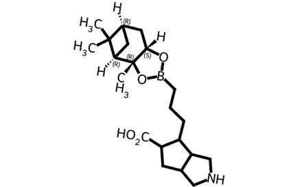 CC1(C)[C@H]2C[C@@H]3OB(CCCC4C(C(=O)O)CC5CNCC54)O[C@]3(C)[C@@H]1C2